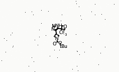 CC(C)(C)OC(=O)N1CC(c2nn[nH]c2C2(C(F)(F)F)COC2)C1